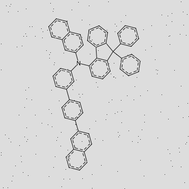 c1ccc(C2(c3ccccc3)c3ccccc3-c3c(N(c4cccc(-c5ccc(-c6ccc7ccccc7c6)cc5)c4)c4ccc5ccccc5c4)cccc32)cc1